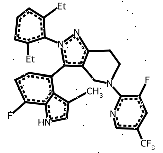 CCc1cccc(CC)c1-n1nc2c(c1-c1ccc(F)c3[nH]cc(C)c13)CN(c1ncc(C(F)(F)F)cc1F)CC2